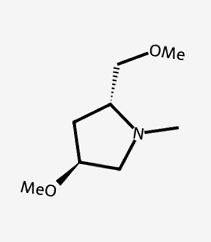 COC[C@H]1C[C@H](OC)CN1C